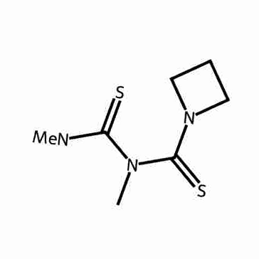 CNC(=S)N(C)C(=S)N1CCC1